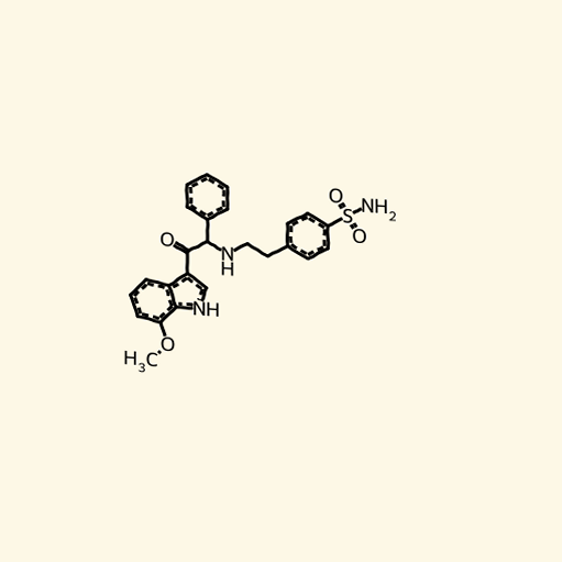 COc1cccc2c(C(=O)C(NCCc3ccc(S(N)(=O)=O)cc3)c3ccccc3)c[nH]c12